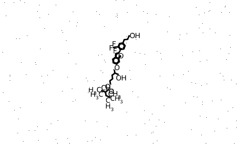 CC(C)(C)CC(C(=O)OCCCCC(CO)COc1ccc2cc(-c3ccc(CCCO)cc3C(F)(F)F)oc2c1)C(C)(C)C